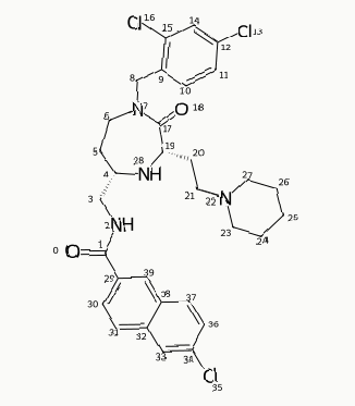 O=C(NC[C@@H]1CCN(Cc2ccc(Cl)cc2Cl)C(=O)[C@H](CCN2CCCCC2)N1)c1ccc2cc(Cl)ccc2c1